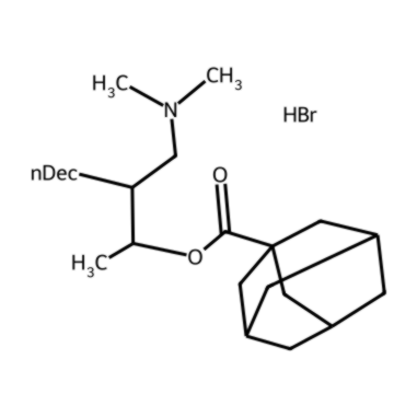 Br.CCCCCCCCCCC(CN(C)C)C(C)OC(=O)C12CC3CC(CC(C3)C1)C2